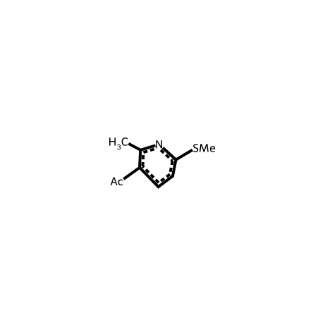 CSc1ccc(C(C)=O)c(C)n1